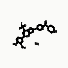 COc1ccc(C2CC(C(F)(F)F)n3nc(-c4ccc(C(=O)N5CCNCC5)cc4)cc3N2)cc1OC.Cl